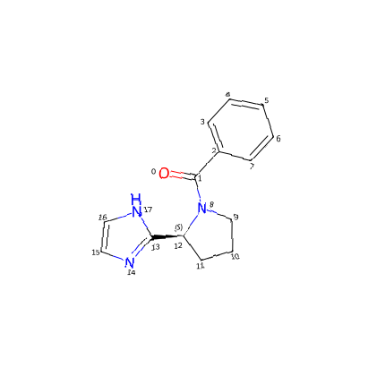 O=C(c1ccccc1)N1CCC[C@H]1c1ncc[nH]1